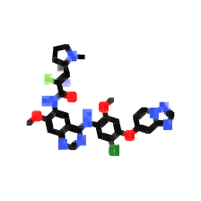 COc1cc2ncnc(Nc3cc(Cl)c(Oc4ccn5ncnc5c4)cc3OC)c2cc1NC(=O)/C(F)=C/[C@H]1CCCN1C